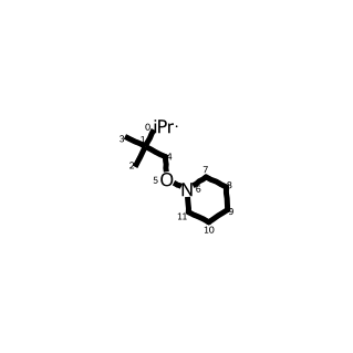 C[C](C)C(C)(C)CON1CCCCC1